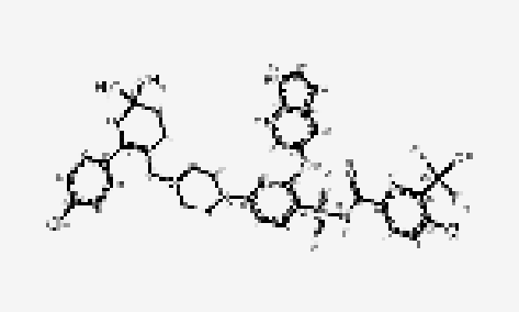 CC1(C)CCC(CN2CCN(c3ccc(S(=O)(=O)NC(=O)c4ccc(Cl)c(C(F)(F)F)n4)c(Oc4cnc5[nH]ccc5c4)c3)CC2)=C(c2ccc(Cl)cc2)C1